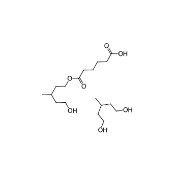 CC(CCO)CCO.CC(CCO)CCOC(=O)CCCCC(=O)O